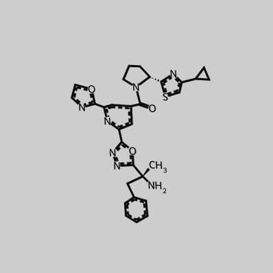 C[C@@](N)(Cc1ccccc1)c1nnc(-c2cc(C(=O)N3CCC[C@@H]3c3nc(C4CC4)cs3)cc(-c3ncco3)n2)o1